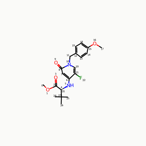 COC(=O)[C@@H](Nc1cc(=O)n(Cc2ccc(OC)cc2)cc1F)C(C)(C)C